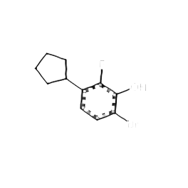 Oc1c(Br)ccc(C2CCCC2)c1F